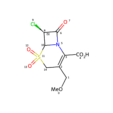 COCC1=C(C(=O)O)N2C(=O)[C@H](Cl)C2S(=O)(=O)C1